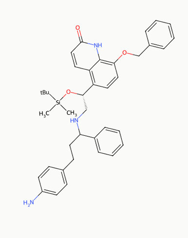 CC(C)(C)[Si](C)(C)O[C@@H](CNC(CCc1ccc(N)cc1)c1ccccc1)c1ccc(OCc2ccccc2)c2[nH]c(=O)ccc12